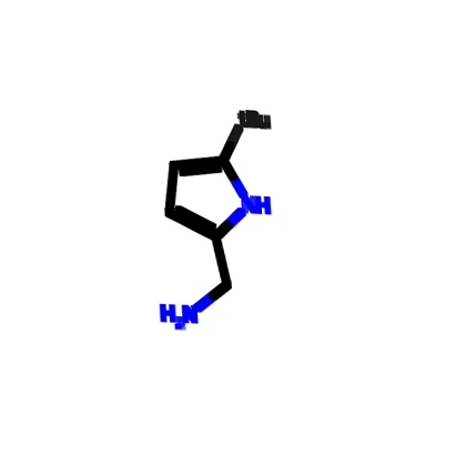 CC(C)(C)c1ccc(CN)[nH]1